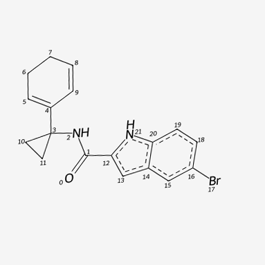 O=C(NC1(C2=CCCC=C2)CC1)c1cc2cc(Br)ccc2[nH]1